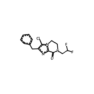 O=C1c2nc(Cc3ccccc3)c(Cl)n2CCN1CC(F)F